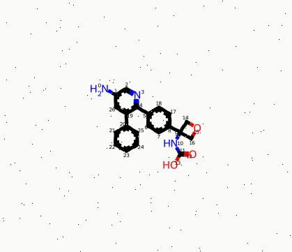 Nc1cnc(-c2ccc(C3(NC(=O)O)COC3)cc2)c(-c2ccccc2)c1